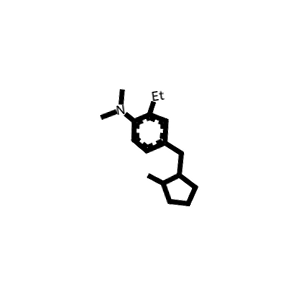 CCc1cc(CC2CCCC2C)ccc1N(C)C